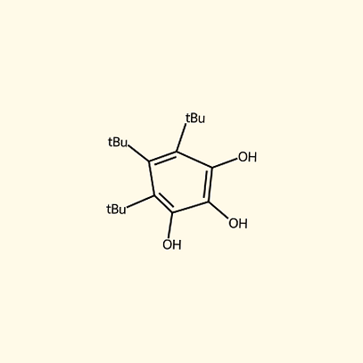 CC(C)(C)c1c(O)c(O)c(O)c(C(C)(C)C)c1C(C)(C)C